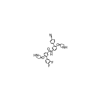 N#Cc1ccc(-c2cc(NC(=O)c3ccc(O[C@H]4CCNC4)c(-c4ccc(F)c(F)c4)c3)ccc2O[C@H]2CCNC2)cc1